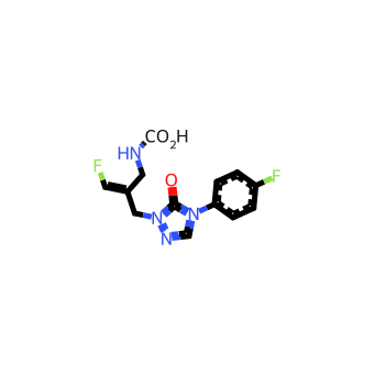 O=C(O)NC/C(=C\F)Cn1ncn(-c2ccc(F)cc2)c1=O